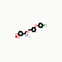 FC(F)(F)C(COCc1cccc(Oc2ccc(Cl)cc2)c1)c1ccc2c(c1)OCO2